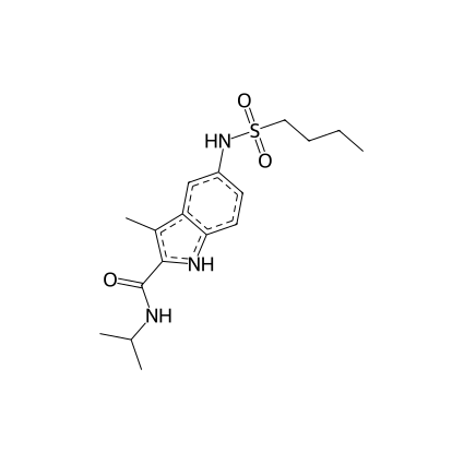 CCCCS(=O)(=O)Nc1ccc2[nH]c(C(=O)NC(C)C)c(C)c2c1